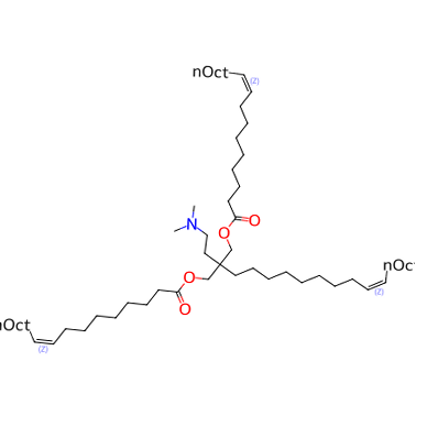 CCCCCCCC/C=C\CCCCCCCCC(CCN(C)C)(COC(=O)CCCCCCC/C=C\CCCCCCCC)COC(=O)CCCCCCC/C=C\CCCCCCCC